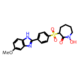 COc1ccc2[nH]c(-c3ccc(S(=O)(=O)C4CCCCN(O)C4=O)cc3)nc2c1